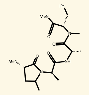 CNC(=O)[C@H](CC(C)C)N(C)C(=O)[C@H](C)NC(=O)[C@@H](C)N1C(=O)[C@@H](NC)CC1C